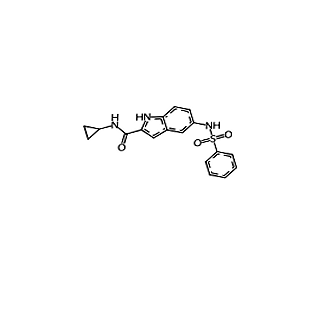 O=C(NC1CC1)c1cc2cc(NS(=O)(=O)c3ccccc3)ccc2[nH]1